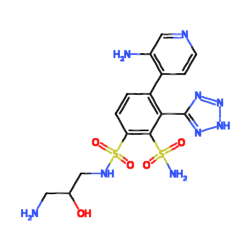 NCC(O)CNS(=O)(=O)c1ccc(-c2ccncc2N)c(-c2nn[nH]n2)c1S(N)(=O)=O